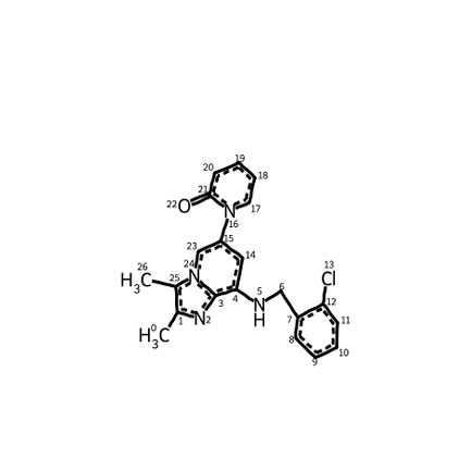 Cc1nc2c(NCc3ccccc3Cl)cc(-n3ccccc3=O)cn2c1C